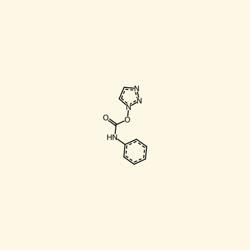 O=C(Nc1ccccc1)On1ccnn1